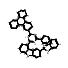 c1ccc(-c2nc(-c3ccc4c5ccccc5c5ccccc5c4c3)nc(-c3cccc4sc5ccc(-c6nc7ccccc7o6)cc5c34)n2)cc1